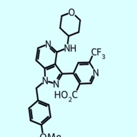 COc1ccc(Cn2nc(-c3cc(C(F)(F)F)ncc3C(=O)O)c3c(NC4CCOCC4)nccc32)cc1